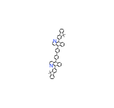 CC1(C)c2ccccc2-c2ccc(-c3c4ccccc4c(-c4ccc(-c5ccc(-c6c7ccccc7c(-c7ccc8c(c7)C(C)(C)c7ccccc7-8)c7ncccc67)cc5)cc4)c4cccnc34)cc21